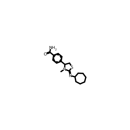 CN1C(=NC2CCCCCC2)SCC1c1ccc(C(N)=O)cc1